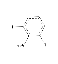 CC[CH]c1c(I)cccc1I